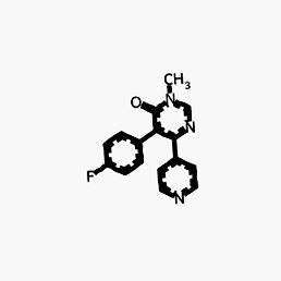 Cn1cnc(-c2ccncc2)c(-c2ccc(F)cc2)c1=O